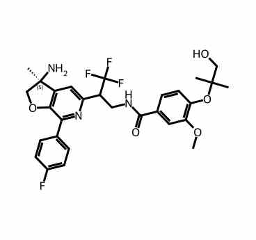 COc1cc(C(=O)NCC(c2cc3c(c(-c4ccc(F)cc4)n2)OC[C@@]3(C)N)C(F)(F)F)ccc1OC(C)(C)CO